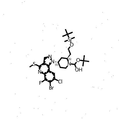 CSc1nc2c(F)c(Br)c(Cl)cc2c2c1cnn2[C@H]1CCN(C(O)OC(C)(C)C)[C@H](CCO[Si](C)(C)C(C)(C)C)C1